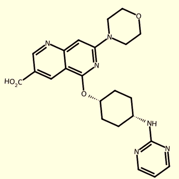 O=C(O)c1cnc2cc(N3CCOCC3)nc(O[C@H]3CC[C@@H](Nc4ncccn4)CC3)c2c1